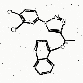 C[C@@H](Oc1ccnc2ccccc12)c1cn(-c2ccc(Cl)c(Cl)c2)nn1